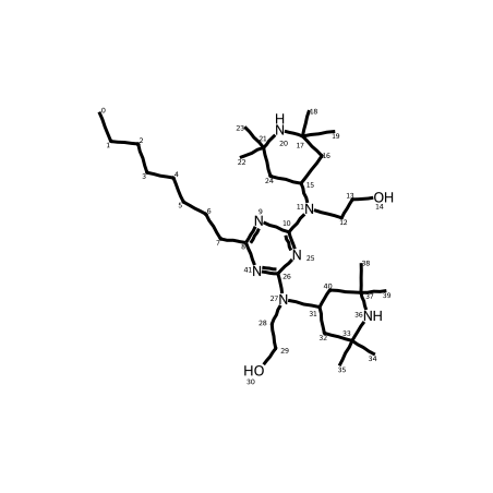 CCCCCCCCc1nc(N(CCO)C2CC(C)(C)NC(C)(C)C2)nc(N(CCO)C2CC(C)(C)NC(C)(C)C2)n1